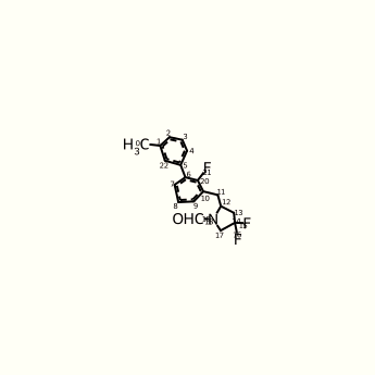 Cc1cccc(-c2cccc(CC3CC(F)(F)CN3C=O)c2F)c1